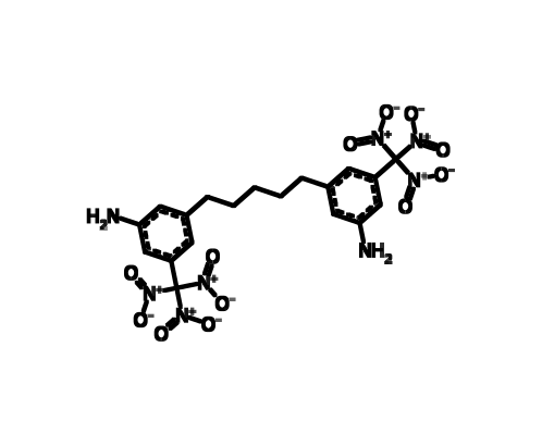 Nc1cc(CCCCCc2cc(N)cc(C([N+](=O)[O-])([N+](=O)[O-])[N+](=O)[O-])c2)cc(C([N+](=O)[O-])([N+](=O)[O-])[N+](=O)[O-])c1